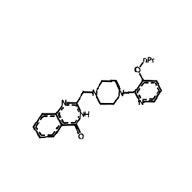 CCCOc1cccnc1N1CCN(Cc2nc3ccccc3c(=O)[nH]2)CC1